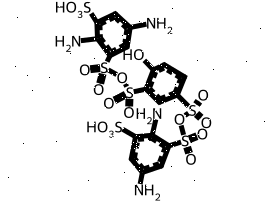 Nc1cc(S(=O)(=O)O)c(N)c(S(=O)(=O)OS(=O)(=O)c2ccc(O)c(S(=O)(=O)OS(=O)(=O)c3cc(N)cc(S(=O)(=O)O)c3N)c2)c1